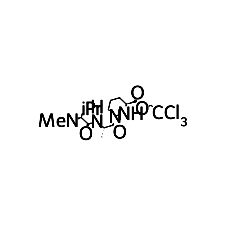 CN[C@H](C(=O)N[C@@H](C)C(=O)N1CCC[C@@H](C(=O)OCC(Cl)(Cl)Cl)N1)C(C)C